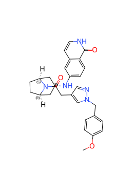 COc1ccc(Cn2cc(CC(=O)N3[C@@H]4CC[C@H]3C[C@H](Nc3ccc5c(=O)[nH]ccc5c3)C4)cn2)cc1